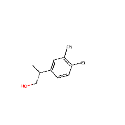 CCc1ccc([C](C)CO)cc1C#N